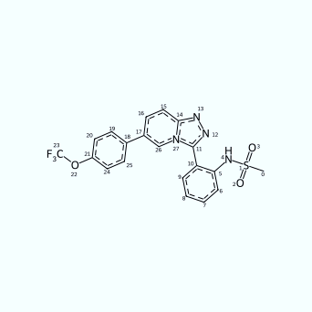 CS(=O)(=O)Nc1ccccc1-c1nnc2ccc(-c3ccc(OC(F)(F)F)cc3)cn12